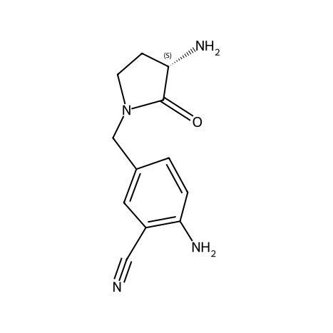 N#Cc1cc(CN2CC[C@H](N)C2=O)ccc1N